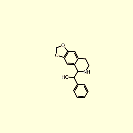 OC(c1ccccc1)C1NCCc2cc3c(cc21)OCO3